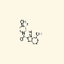 CN1CCN(C(=O)c2cc3cccc(O)c3[nH]2)CC1